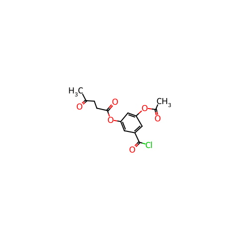 CC(=O)CCC(=O)Oc1cc(OC(C)=O)cc(C(=O)Cl)c1